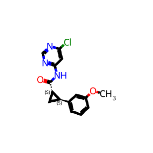 COc1cccc([C@H]2C[C@@H]2C(=O)Nc2cc(Cl)ncn2)c1